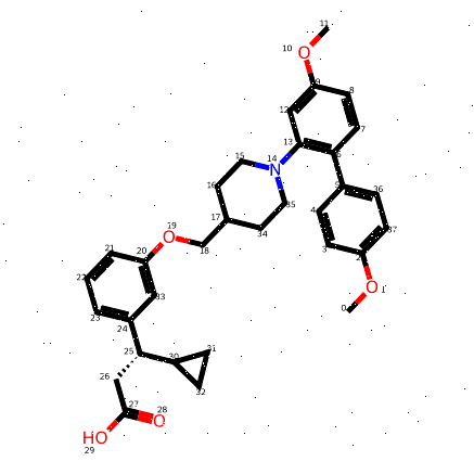 COc1ccc(-c2ccc(OC)cc2N2CCC(COc3cccc([C@@H](CC(=O)O)C4CC4)c3)CC2)cc1